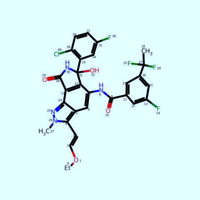 CCO/C=C/c1c2cc(NC(=O)c3cc(F)cc(C(C)(F)F)c3)c3c(c2nn1C)C(=O)NC3(O)c1cc(F)ccc1Cl